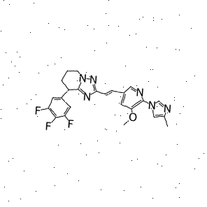 COc1cc(/C=C/c2nc3n(n2)CCCC3c2cc(F)c(F)c(F)c2)cnc1-n1cnc(C)c1